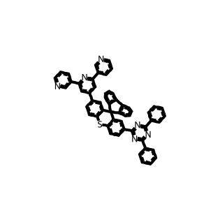 c1ccc(-c2nc(-c3ccccc3)nc(-c3ccc4c(c3)C3(c5cc(-c6cc(-c7cccnc7)nc(-c7cccnc7)c6)ccc5S4)c4ccccc4-c4ccccc43)n2)cc1